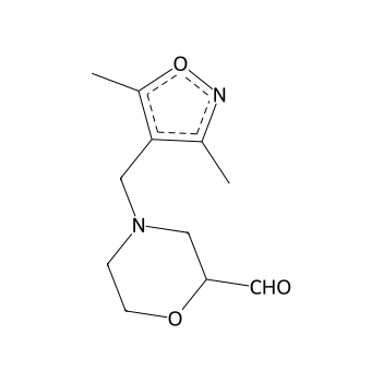 Cc1noc(C)c1CN1CCOC(C=O)C1